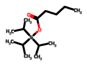 CCCCC(=O)O[Si](C(C)C)(C(C)C)C(C)C